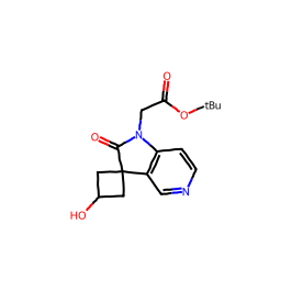 CC(C)(C)OC(=O)CN1C(=O)C2(CC(O)C2)c2cnccc21